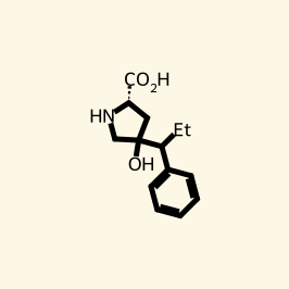 CCC(c1ccccc1)C1(O)CN[C@H](C(=O)O)C1